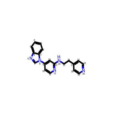 c1ccc2c(c1)ncn2-c1ccnc(NCCc2ccncc2)c1